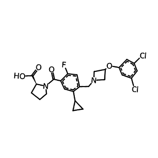 O=C(O)[C@@H]1CCCN1C(=O)c1cc(C2CC2)c(CN2CC(Oc3cc(Cl)cc(Cl)c3)C2)cc1F